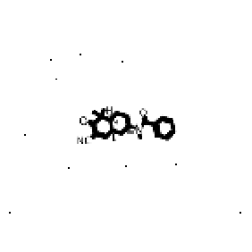 CN(C(=O)c1ccccc1)[C@@H]1CC[C@@H]2C(C)(C)C(=O)C(C#N)=C[C@@]2(C)C1